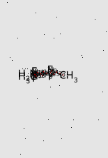 CCCCCc1cc(F)c(C#Cc2ccc(C3=CC(F)C(C)(N)C(F)=C3)cc2)c(F)c1